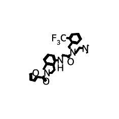 CN(C)CCN(Cc1ccccc1C(F)(F)F)C(=O)CNc1cccc2c1CCN(C(=O)c1ccco1)C2